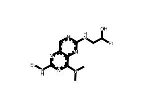 CCNc1nc(N(C)C)c2nc(NCC(O)CC)ncc2n1